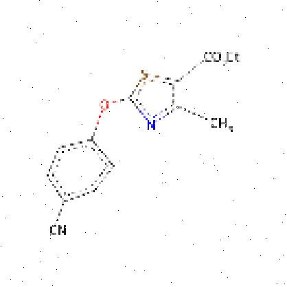 CCOC(=O)c1sc(Oc2ccc(C#N)cc2)nc1C